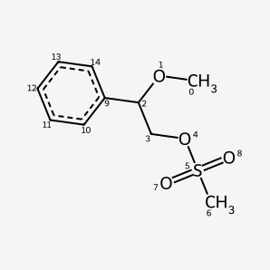 COC(COS(C)(=O)=O)c1ccccc1